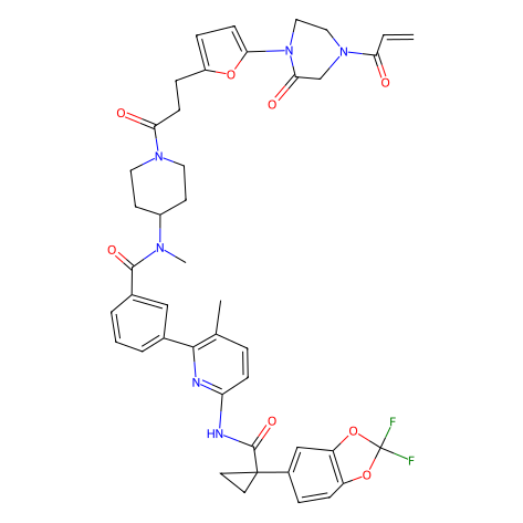 C=CC(=O)N1CCN(c2ccc(CCC(=O)N3CCC(N(C)C(=O)c4cccc(-c5nc(NC(=O)C6(c7ccc8c(c7)OC(F)(F)O8)CC6)ccc5C)c4)CC3)o2)C(=O)C1